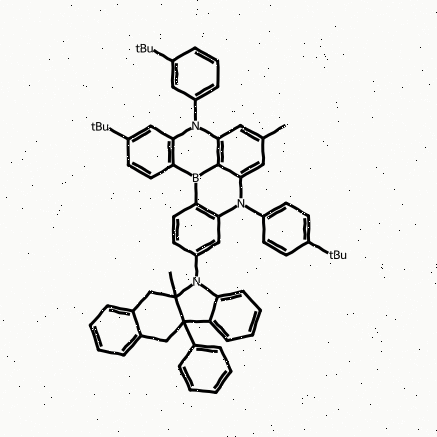 Cc1cc2c3c(c1)N(c1cccc(C(C)(C)C)c1)c1cc(C(C)(C)C)ccc1B3c1ccc(N3c4ccccc4C4(c5ccccc5)Cc5ccccc5CC34C)cc1N2c1ccc(C(C)(C)C)cc1